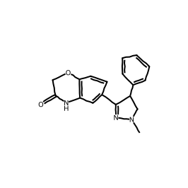 CN1CC(c2ccccc2)C(c2ccc3c(c2)NC(=O)CO3)=N1